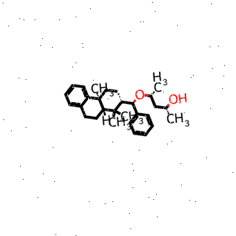 C[C@H](C[C@@H](C)O)O[C@@H](c1ccccc1)[C@H]1CC[C@]2(C)c3ccccc3CC[C@H]2C1(C)C